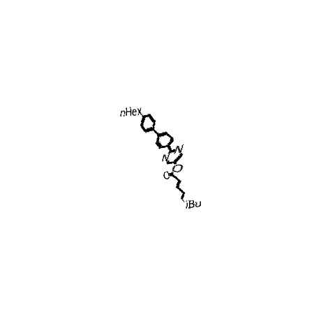 CCCCCCc1ccc(-c2ccc(-c3ncc(OC(=O)CCCC[C@@H](C)CC)cn3)cc2)cc1